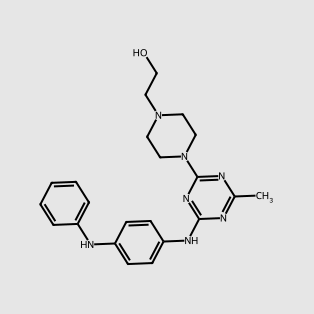 Cc1nc(Nc2ccc(Nc3ccccc3)cc2)nc(N2CCN(CCO)CC2)n1